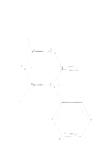 O=c1[nH]c(=O)n(-c2cc[c]cc2)c(=O)[nH]1